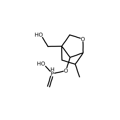 C=[PH](O)OC1C2OCC1(CO)CC2C